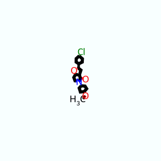 COc1ccc(-n2ccc3oc(-c4ccc(Cl)cc4)cc3c2=O)cc1